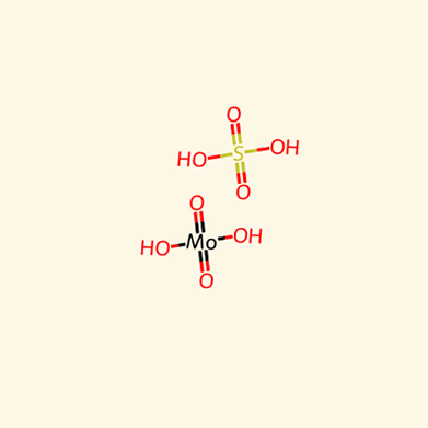 O=S(=O)(O)O.[O]=[Mo](=[O])([OH])[OH]